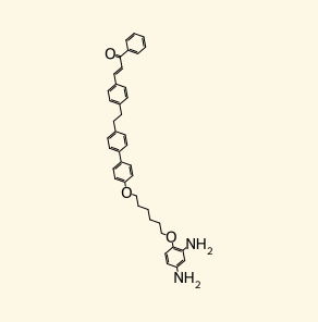 Nc1ccc(OCCCCCCOc2ccc(-c3ccc(CCc4ccc(/C=C/C(=O)c5ccccc5)cc4)cc3)cc2)c(N)c1